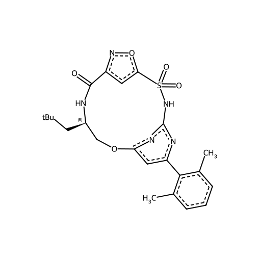 Cc1cccc(C)c1-c1cc2nc(n1)NS(=O)(=O)c1cc(no1)C(=O)N[C@H](CC(C)(C)C)CO2